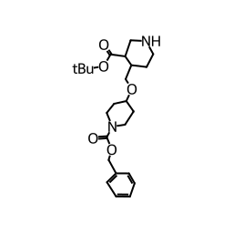 CC(C)(C)OC(=O)C1CNCCC1COC1CCN(C(=O)OCc2ccccc2)CC1